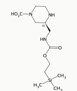 C[Si](C)(C)CCOC(=O)NC[C@H]1CN(C(=O)O)CCN1